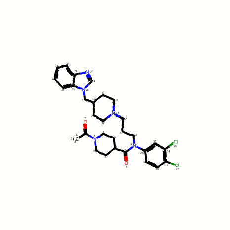 CC(=O)N1CCC(C(=O)N(CCCN2CCC(Cn3cnc4ccccc43)CC2)c2ccc(Cl)c(Cl)c2)CC1